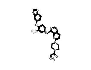 C=CC(=O)N1CCN(c2ccc3ncnc(Nc4ccc(Oc5ccc6scnc6c5)c(C)c4)c3n2)CC1